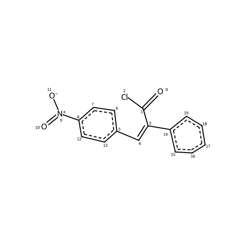 O=C(Cl)/C(=C\c1ccc([N+](=O)[O-])cc1)c1ccccc1